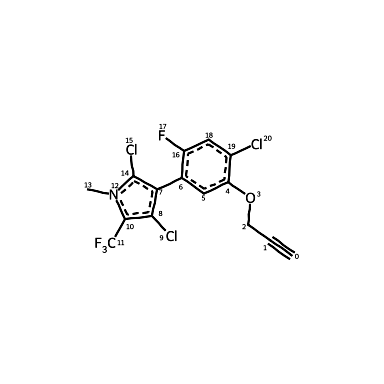 C#CCOc1cc(-c2c(Cl)c(C(F)(F)F)n(C)c2Cl)c(F)cc1Cl